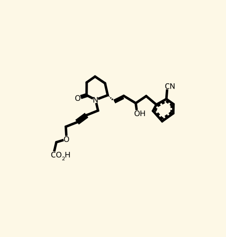 N#Cc1ccccc1CC(O)/C=C/[C@H]1CCCC(=O)N1CC#CCOCC(=O)O